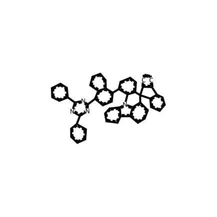 c1ccc(-c2nc(-c3ccccc3)nc(-c3ccc(-c4cccc5c4-n4c6ccccc6c6cccc(c64)C54c5ccccc5-c5ccccc54)c4ccccc34)n2)cc1